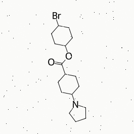 O=C(OC1CCC(Br)CC1)C1CCC(N2CCCC2)CC1